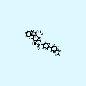 CN(C)C1(c2ccccc2)CCC2(CC1)CN(c1cnc(-c3ccc4ncsc4c3)nc1)C(=O)N2